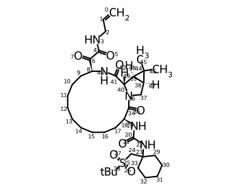 C=CCNC(=O)C(=O)[C@@H]1CCCCCCCCC[C@H](NC(=O)NC2(CS(=O)(=O)C(C)(C)C)CCCCC2)C(=O)N2C[C@H]3[C@@H]([C@H]2C(=O)N1)C3(C)C